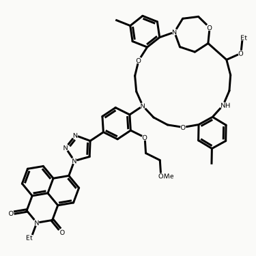 CCOC1CCNc2ccc(C)cc2OCCN(c2ccc(-c3cn(-c4ccc5c6c(cccc46)C(=O)N(CC)C5=O)nn3)cc2OCCOC)CCOc2cc(C)ccc2N2CCOC1CC2